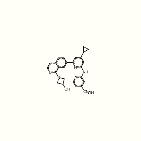 Cl.N#Cc1ccnc(Nc2cc(C3CC3)cc(-c3ccc4ccnc(N5CC(O)C5)c4c3)n2)c1